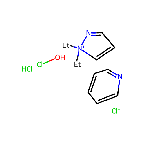 CC[N+]1(CC)C=CC=N1.Cl.OCl.[Cl-].c1ccncc1